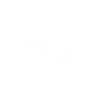 CC(=O)NC1[C@H]2CC(O)(c3cc(Cl)cc4[nH]ncc34)C[C@@H]12